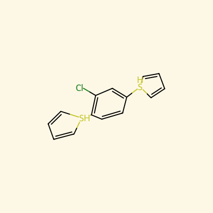 Clc1cc([SH]2C=CC=C2)ccc1[SH]1C=CC=C1